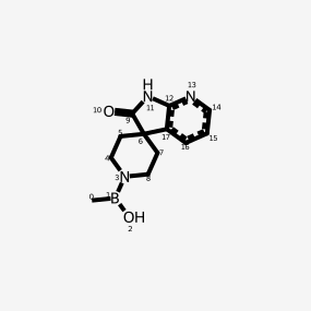 CB(O)N1CCC2(CC1)C(=O)Nc1ncccc12